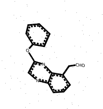 O=CCc1cccc2ncc(Oc3ccccc3)nc12